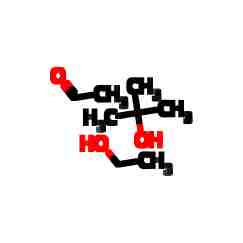 CC(C)(C)O.CC=O.CCO